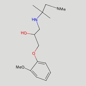 CNCC(C)(C)NCC(O)COc1ccccc1OC